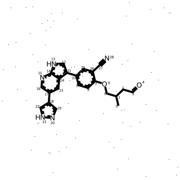 CC(CC=O)COc1ccc(-c2c[nH]c3ncc(-c4cn[nH]c4)cc23)cc1C#N